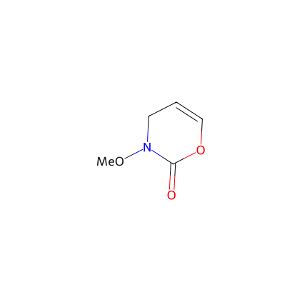 CON1CC=COC1=O